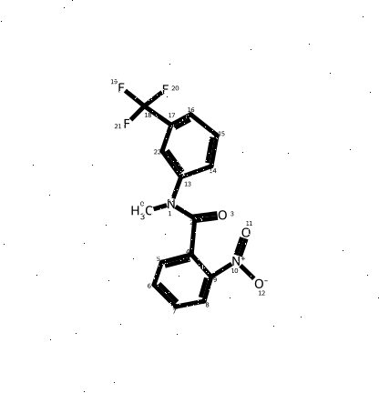 CN(C(=O)c1ccccc1[N+](=O)[O-])c1cccc(C(F)(F)F)c1